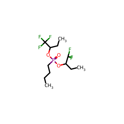 CCCCP(=O)(OC(CC)C(F)(F)F)OC(CC)C(F)(F)F